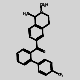 NC1c2ccc(C(=O)c3ccccc3-c3ccc(C(F)(F)F)cc3)cc2CCN1C(=O)O